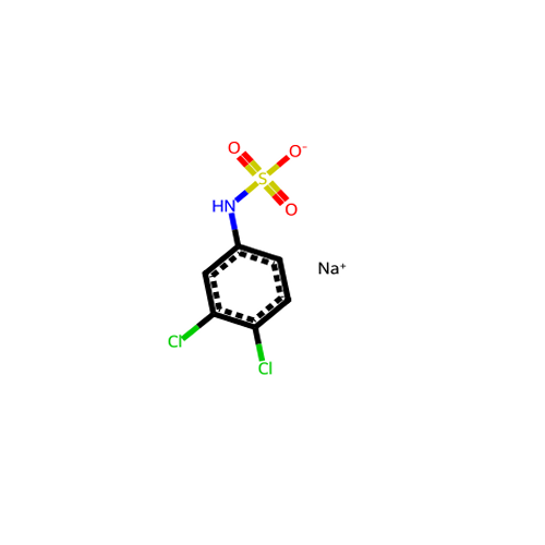 O=S(=O)([O-])Nc1ccc(Cl)c(Cl)c1.[Na+]